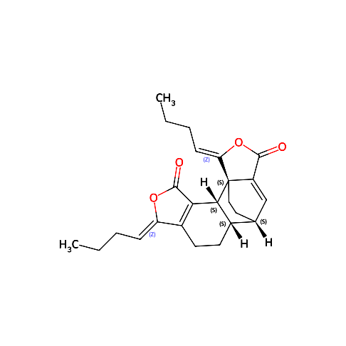 CCC/C=C1\OC(=O)C2=C1CC[C@H]1[C@H]3C=C4C(=O)O/C(=C\CCC)[C@@]4(CC3)[C@@H]21